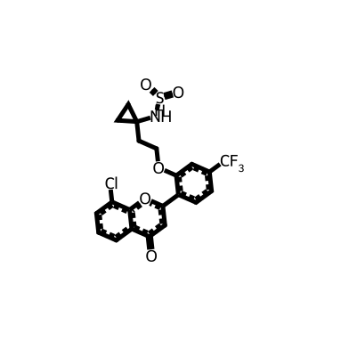 O=c1cc(-c2ccc(C(F)(F)F)cc2OCCC2(N[SH](=O)=O)CC2)oc2c(Cl)cccc12